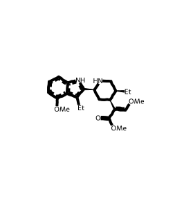 CCc1c([C@@H]2C[C@H](/C(=C\OC)C(=O)OC)[C@H](CC)CN2)[nH]c2cccc(OC)c12